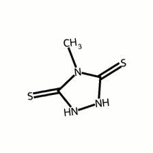 Cn1c(=S)[nH][nH]c1=S